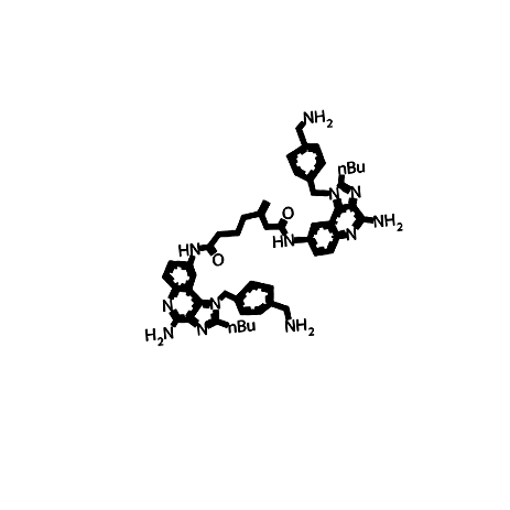 C=C(CCCC(=O)Nc1ccc2nc(N)c3nc(CCCC)n(Cc4ccc(CN)cc4)c3c2c1)CC(=O)Nc1ccc2nc(N)c3nc(CCCC)n(Cc4ccc(CN)cc4)c3c2c1